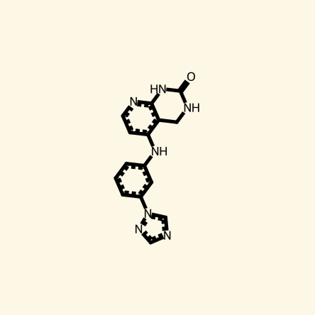 O=C1NCc2c(Nc3cccc(-n4cncn4)c3)ccnc2N1